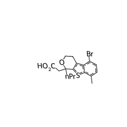 CCCC1(CC(=O)O)OCCc2c1sc1c(C)ccc(Br)c21